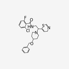 O=C(NCC(C1=CCN=CS1)N1CCC(OCc2ccccc2)CC1)c1c(F)cccc1Cl